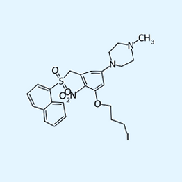 CN1CCN(c2cc(CS(=O)(=O)c3cccc4ccccc34)c([N+](=O)[O-])c(OCCCI)c2)CC1